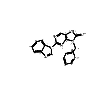 O=c1[nH]c2cnc(-n3cnc4ccccc43)nc2n1Cc1ccccn1